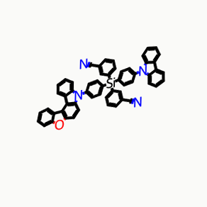 N#Cc1cccc([Si](c2ccc(-n3c4ccccc4c4ccccc43)cc2)(c2ccc(-n3c4ccccc4c4c5c(ccc43)oc3ccccc35)cc2)c2cccc(C#N)c2)c1